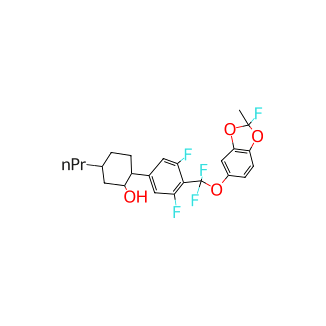 CCCC1CCC(c2cc(F)c(C(F)(F)Oc3ccc4c(c3)OC(C)(F)O4)c(F)c2)C(O)C1